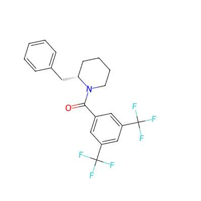 O=C(c1cc(C(F)(F)F)cc(C(F)(F)F)c1)N1CCCC[C@H]1Cc1ccccc1